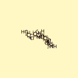 Cc1cc(-c2cc(O)ccc2Cl)cc2nnc(Nc3ccc(S(=O)(=O)N4CCNCC4)cc3)nc12